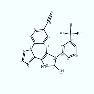 CC1=C(c2nccn2-c2ccc(C#N)cc2)NC(O)N1c1cccc(C(F)(F)F)c1